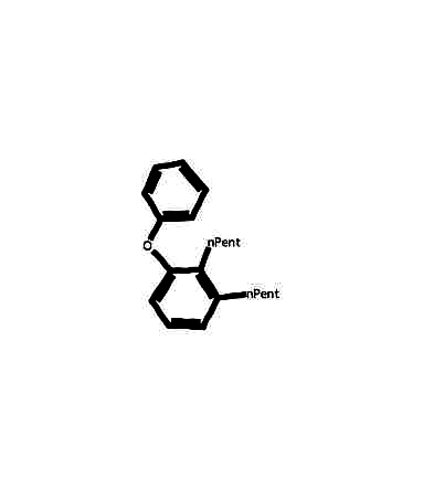 CCCCCc1cccc(Oc2ccccc2)c1CCCCC